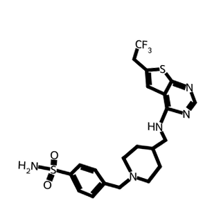 NS(=O)(=O)c1ccc(CN2CCC(CNc3ncnc4sc(CC(F)(F)F)cc34)CC2)cc1